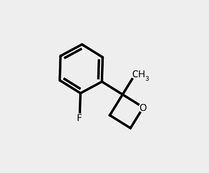 CC1(c2ccccc2F)CCO1